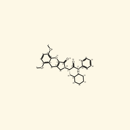 COc1ccc(OC)c2c1CC1=C(O2)C(=O)N([C@@H](CC2CCCCC2)C(=O)Nc2ccccn2)C1